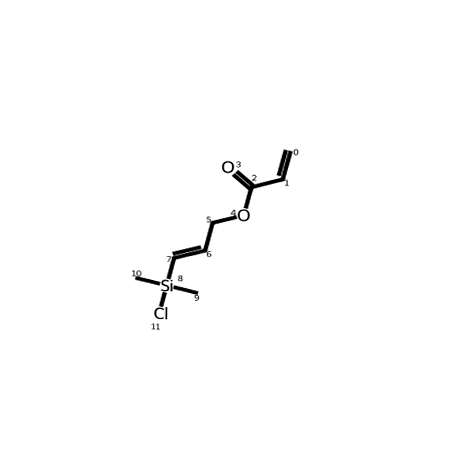 C=CC(=O)OCC=C[Si](C)(C)Cl